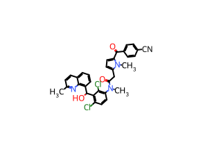 Cc1ccc2cccc(C(O)c3c(Cl)ccc(N(C)C(=O)Cc4ccc(C(=O)c5ccc(C#N)cc5)n4C)c3Cl)c2n1